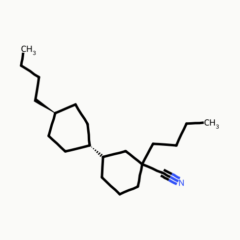 CCCCC1(C#N)CCCC([C@H]2CC[C@H](CCCC)CC2)C1